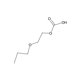 CCCOCCOC(=O)O